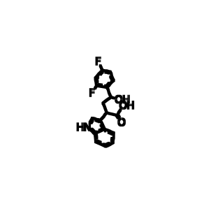 O=C(O)C(CC(O)c1ccc(F)cc1F)c1c[nH]c2ccccc12